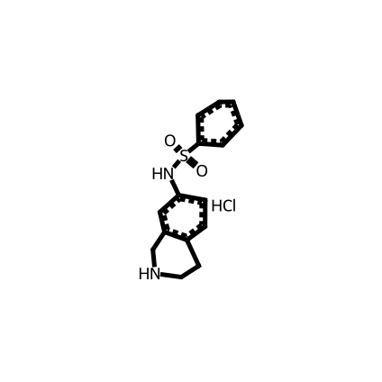 Cl.O=S(=O)(Nc1ccc2c(c1)CNCC2)c1ccccc1